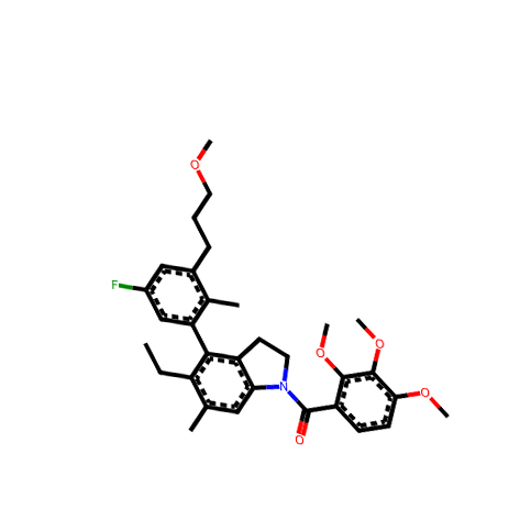 CCc1c(C)cc2c(c1-c1cc(F)cc(CCCOC)c1C)CCN2C(=O)c1ccc(OC)c(OC)c1OC